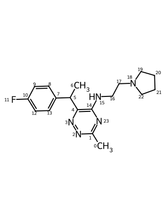 Cc1nnc(C(C)c2ccc(F)cc2)c(NCCN2CCCC2)n1